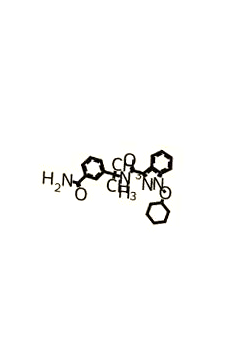 CC(C)(NC(=O)c1nn(OC2CCCCC2)c2ccccc12)c1cccc(C(N)=O)c1